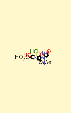 COc1cc(N2CCC(O)(CC(=O)O)CC2)c(F)cc1NC1CCC(=O)NC1=O.Cl